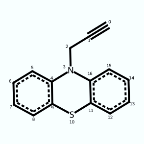 C#CCN1c2ccccc2Sc2ccccc21